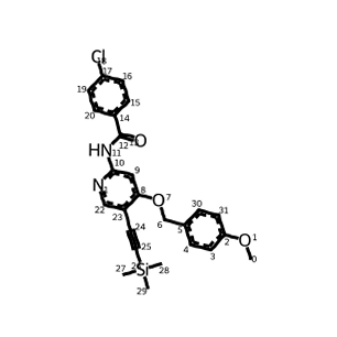 COc1ccc(COc2cc(NC(=O)c3ccc(Cl)cc3)ncc2C#C[Si](C)(C)C)cc1